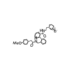 COc1ccc(CC(=O)NCc2ccccc2-c2ccccc2C(=O)NCCc2ccc[n+]([O-])c2)cc1